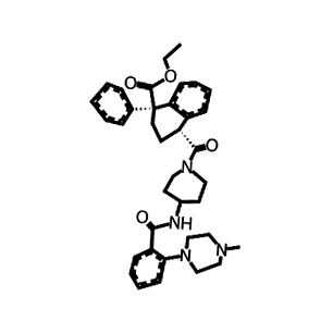 CCOC(=O)[C@]1(c2ccccc2)CC[C@@H](C(=O)N2CCC(NC(=O)c3ccccc3N3CCN(C)CC3)CC2)c2ccccc21